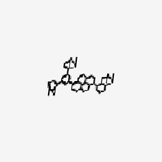 c1cncc(-c2cc(-c3cccnc3)cc(-c3ccc4ccc5c(-c6cccc7cnccc67)ccc6ccc3c4c65)c2)c1